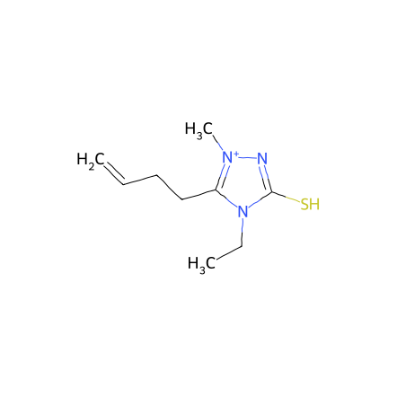 C=CCCc1n(CC)c(S)n[n+]1C